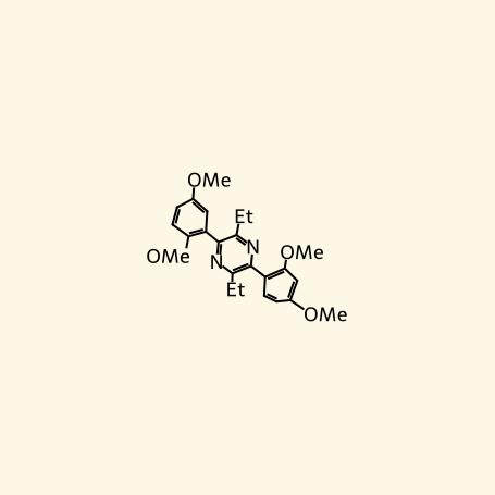 CCc1nc(-c2cc(OC)ccc2OC)c(CC)nc1-c1ccc(OC)cc1OC